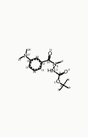 CN(NC(=O)OC(C)(C)C)C(=O)c1cccc(N(C)C)c1